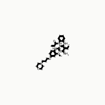 C=CC(=O)Nc1ccccc1NC(=N/C(=C)Nc1ccc(OCCCN2CCOCC2)cc1OC)/C(=C\C)C(N)=O